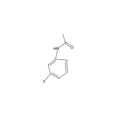 CC(=O)Nc1[c]ccc(F)c1